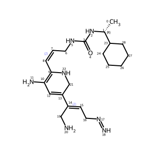 C[C@@H](NC(=O)NC/C=C\C1=C(N)C=C(/C(=C/CN=N)CN)CN1)C1CCCCC1